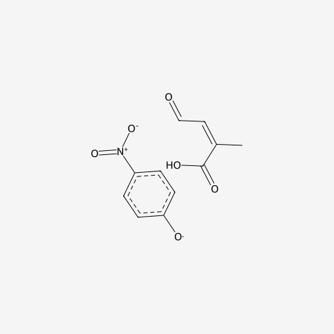 CC(=CC=O)C(=O)O.[O]c1ccc([N+](=O)[O-])cc1